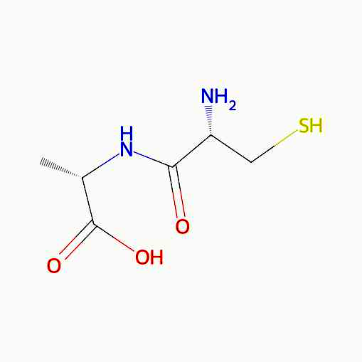 C[C@H](NC(=O)[C@H](N)CS)C(=O)O